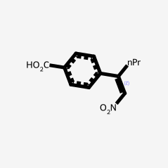 CCC/C(=C/[N+](=O)[O-])c1ccc(C(=O)O)cc1